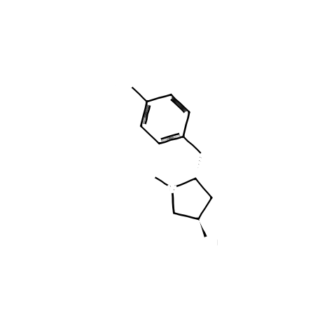 CCCCCCCCc1ccc(C[C@@H]2C[C@@H](O)CN2C(=O)O)cc1